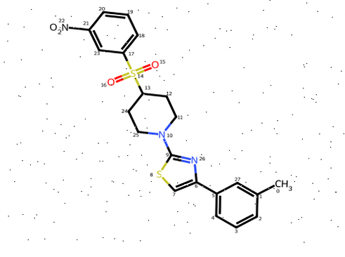 Cc1cccc(-c2csc(N3CCC(S(=O)(=O)c4cccc([N+](=O)[O-])c4)CC3)n2)c1